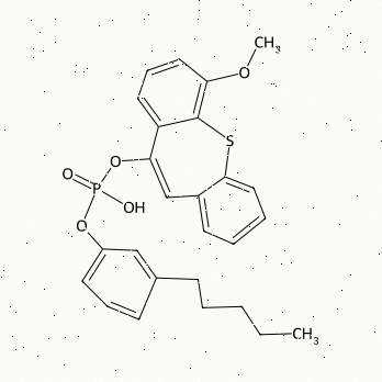 CCCCCc1cccc(OP(=O)(O)OC2=Cc3ccccc3Sc3c(OC)cccc32)c1